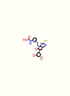 COc1cc(OC)cc(-c2cc3cnc(SC)nc3n(CCc3cccc(NC(=O)O)n3)c2=O)c1